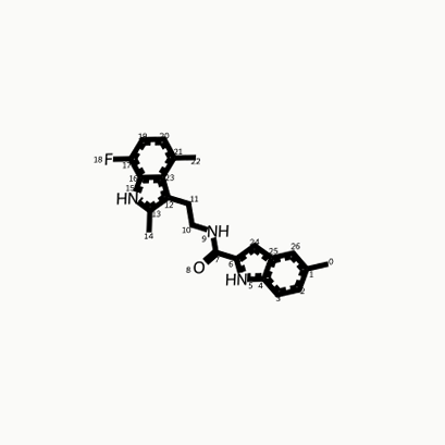 Cc1ccc2[nH]c(C(=O)NCCc3c(C)[nH]c4c(F)ccc(C)c34)cc2c1